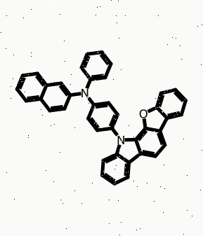 c1ccc(N(c2ccc(-n3c4ccccc4c4ccc5c6ccccc6oc5c43)cc2)c2ccc3ccccc3c2)cc1